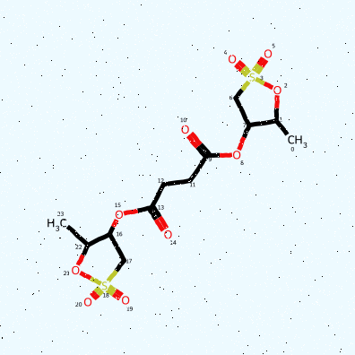 CC1OS(=O)(=O)CC1OC(=O)CCC(=O)OC1CS(=O)(=O)OC1C